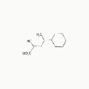 CCOC(=O)/C(C#N)=C/C(C)C1CCCCC1